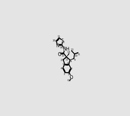 COc1ccc2c(c1)[C@H](CC(C)C)[C@@](C)(C(=O)Nc1nccs1)C2